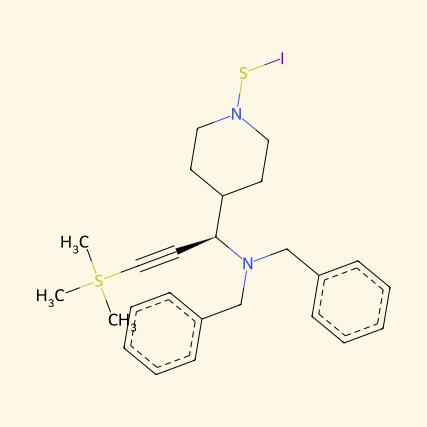 CS(C)(C)C#C[C@@H](C1CCN(SI)CC1)N(Cc1ccccc1)Cc1ccccc1